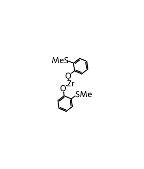 CSc1ccccc1[O][Zr][O]c1ccccc1SC